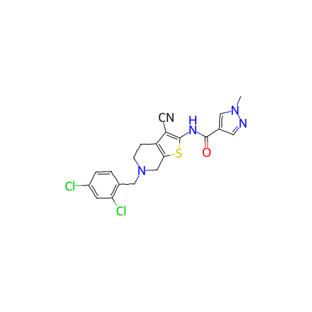 Cn1cc(C(=O)Nc2sc3c(c2C#N)CCN(Cc2ccc(Cl)cc2Cl)C3)cn1